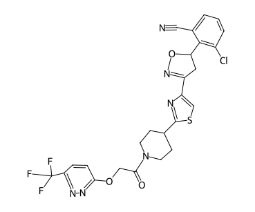 N#Cc1cccc(Cl)c1C1CC(c2csc(C3CCN(C(=O)COc4ccc(C(F)(F)F)nn4)CC3)n2)=NO1